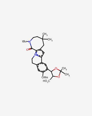 COc1cc2c(cc1C1OC(C)(C)OC1C(=O)O)-c1cc3c(n1CC2)C(=O)N(C(C)(C)C)CCC(C)(C)C3